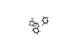 c1ccc([C@@H](Cc2ccncc2)N=C2NCCN2)cc1